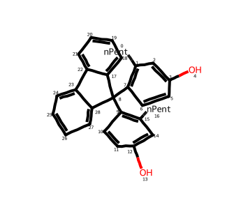 CCCCCc1cc(O)ccc1C1(c2ccc(O)cc2CCCCC)c2ccccc2-c2ccccc21